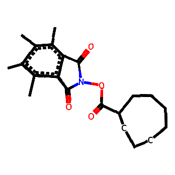 Cc1c(C)c(C)c2c(c1C)C(=O)N(OC(=O)C1CCCCCCC1)C2=O